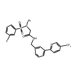 CC(C)N(CC(=O)NCc1cccc(-c2ccc(C(F)(F)F)cn2)c1)S(=O)(=O)c1cccc(F)c1